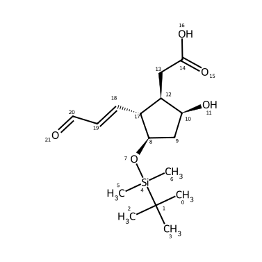 CC(C)(C)[Si](C)(C)O[C@@H]1C[C@H](O)[C@H](CC(=O)O)[C@H]1C=CC=O